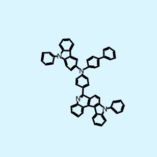 c1ccc(-c2ccc(N(c3ccc(-c4nc5ccccc5c5c4ccc4c5c5ccccc5n4-c4ccccc4)cc3)c3ccc4c(c3)c3ccccc3n4-c3ccccc3)cc2)cc1